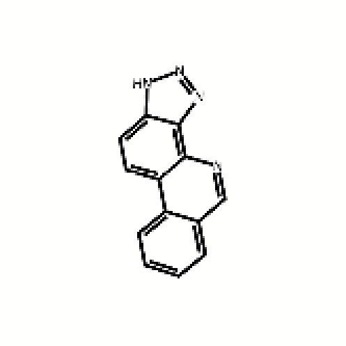 c1ccc2c(c1)cnc1c2ccc2[nH]nnc21